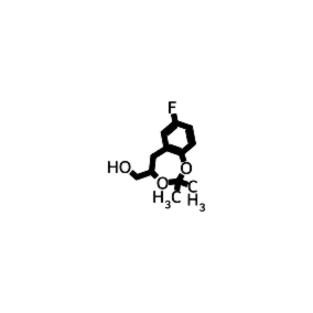 CC1(C)Oc2ccc(F)cc2CC(CO)O1